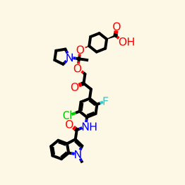 Cn1cc(C(=O)Nc2cc(F)c(CC(=O)COC(C)(O[C@H]3CC[C@H](C(=O)O)CC3)N3CCCC3)cc2Cl)c2ccccc21